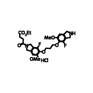 CCOC(=O)CCC(=O)N1Cc2cc(OC)c(OCCCOc3c(OC)cc4c(c3F)CNC4)c(F)c2C1.Cl